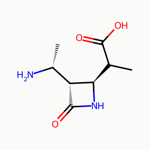 CC(C(=O)O)[C@H]1NC(=O)[C@@H]1[C@@H](C)N